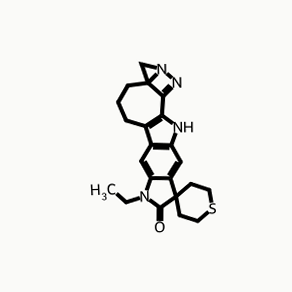 CCN1C(=O)C2(CCSCC2)c2cc3[nH]c4c(c3cc21)CCCC12CN1N=C42